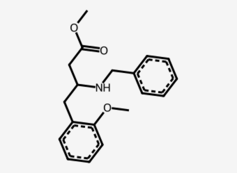 COC(=O)CC(Cc1ccccc1OC)NCc1ccccc1